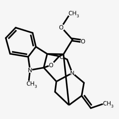 C/C=C1\CN2CCC34c5ccccc5N(C)C35OCC4(C(=O)OC)C1CC25